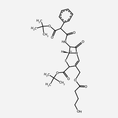 CC(C)(C)OC(=O)C1S[C@@H]2C(NC(=O)C(C(=O)OC(C)(C)C)c3ccccc3)C(=O)N2C=C1COC(=O)CCCO